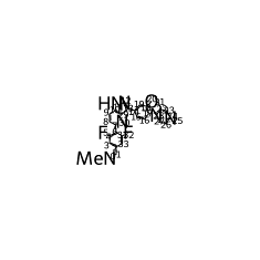 CNCc1cc(F)c(-c2ccc3[nH]nc(-c4ccc5c(c4)OCC4CN(C)CCN54)c3n2)c(F)c1